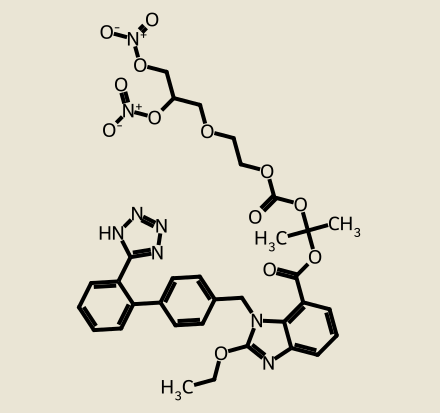 CCOc1nc2cccc(C(=O)OC(C)(C)OC(=O)OCCOCC(CO[N+](=O)[O-])O[N+](=O)[O-])c2n1Cc1ccc(-c2ccccc2-c2nnn[nH]2)cc1